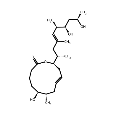 C/C(=C\[C@@H](C)[C@H](O)C[C@@H](C)O)C[C@H](C)[C@H]1C/C=C/C[C@H](C)[C@@H](O)CCCC(=O)O1